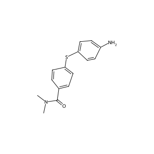 CN(C)C(=O)c1ccc(Sc2ccc(N)cc2)cc1